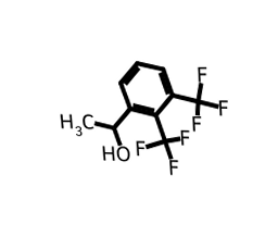 CC(O)c1cccc(C(F)(F)F)c1C(F)(F)F